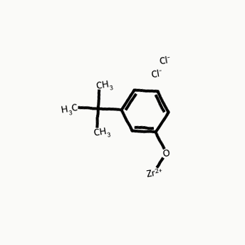 CC(C)(C)c1cccc([O][Zr+2])c1.[Cl-].[Cl-]